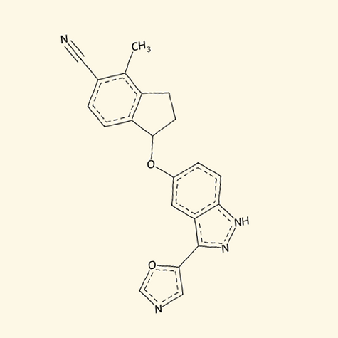 Cc1c(C#N)ccc2c1CCC2Oc1ccc2[nH]nc(-c3cnco3)c2c1